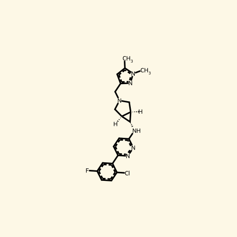 Cc1cc(CN2C[C@@H]3[C@H](C2)[C@H]3Nc2ccc(-c3cc(F)ccc3Cl)nn2)nn1C